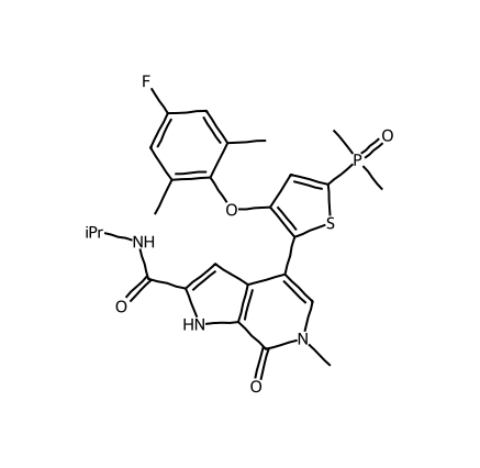 Cc1cc(F)cc(C)c1Oc1cc(P(C)(C)=O)sc1-c1cn(C)c(=O)c2[nH]c(C(=O)NC(C)C)cc12